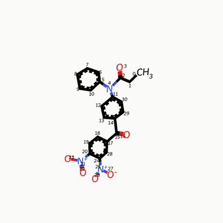 CCC(=O)N(c1ccccc1)c1ccc(C(=O)c2ccc([N+](=O)[O-])c([N+](=O)[O-])c2)cc1